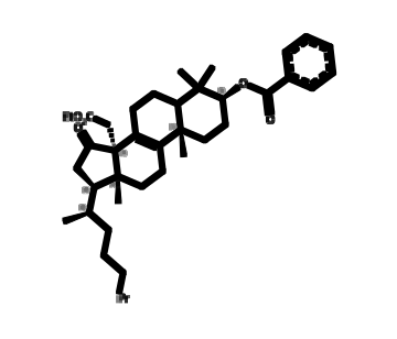 CCOC(=O)C[C@@]12C(=O)C[C@H]([C@H](C)CCCC(C)C)[C@@]1(C)CCC1=C2CCC2C(C)(C)[C@@H](OC(=O)c3ccccc3)CC[C@]12C